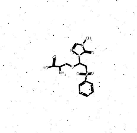 Cn1cnn(C(CS(=O)(=O)c2ccccc2)SCC(N)C(=O)O)c1=O